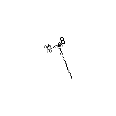 CCCCCCCCCCCCCCCCOCCCOP(=O)(COCCn1cc(C)c(=O)[nH]c1=O)Oc1cccc2ccccc12